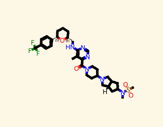 Cc1c(NC[C@H]2CCC[C@@H](c3ccc(C(F)(F)F)cc3)O2)ncnc1C(=O)N1CCC(N2CC3CC(N(C)S(C)(=O)=O)C[C@@H]3C2)CC1